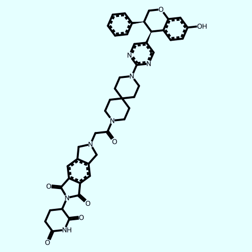 O=C1CCC(N2C(=O)c3cc4c(cc3C2=O)CN(CC(=O)N2CCC3(CC2)CCN(c2ncc([C@@H]5c6ccc(O)cc6OC[C@@H]5c5ccccc5)cn2)CC3)C4)C(=O)N1